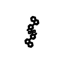 Cc1ccc(-c2cccc3ccccc23)cc1S(=O)(=O)c1cc(-c2cccc3ccccc23)ccc1C